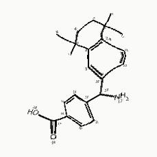 CC1(C)CCC(C)(C)c2cc(C(N)c3ccc(C(=O)O)cc3)ccc21